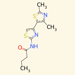 CCCC(=O)Nc1nc(-c2sc(C)nc2C)cs1